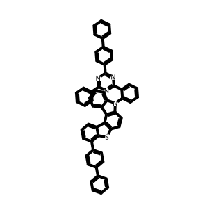 c1ccc(-c2ccc(-c3nc(-c4ccccc4)nc(-c4ccccc4-n4c5ccccc5c5c6c(ccc54)sc4c(-c5ccc(-c7ccccc7)cc5)cccc46)n3)cc2)cc1